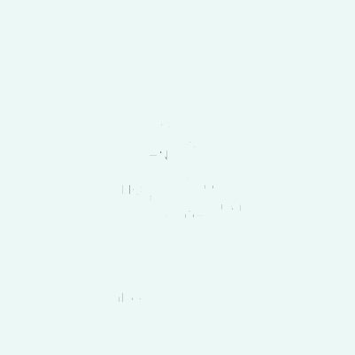 CCCCCCCCCCCCCC[C@@H](O)[C@H](O)[C@H](NC(=O)OCc1ccccc1)C(C)(C)OC(C)(C)C